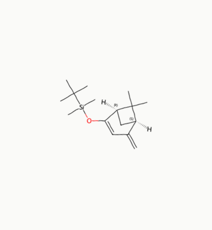 C=C1C=C(O[Si](C)(C)C(C)(C)C)[C@@H]2C[C@H]1C2(C)C